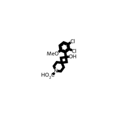 COc1ccc(Cl)c(Cl)c1C1(O)CC2(CCN(C(=O)O)CC2)C1